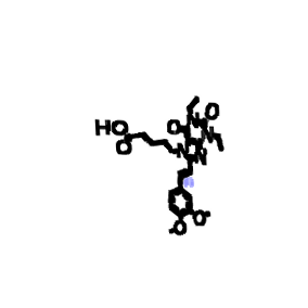 CCn1c(=O)c2c(nc(/C=C/c3ccc(OC)c(OC)c3)n2CCCCC(=O)O)n(CC)c1=O